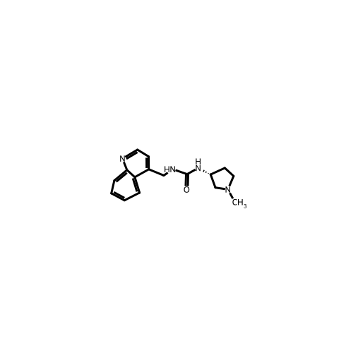 CN1CC[C@@H](NC(=O)NCc2ccnc3ccccc23)C1